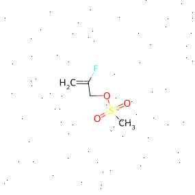 C=C(F)COS(C)(=O)=O